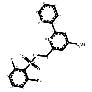 COc1cc(CNS(=O)(=O)c2c(F)cccc2F)nc(-c2ccccn2)c1